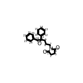 O=C1CCC(=O)N1CCCC1(c2ccccc2)OC1c1ccccc1